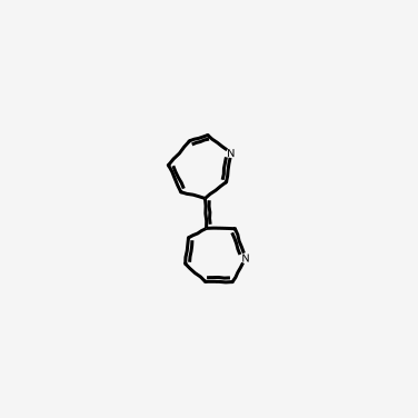 C1=CN=CC(=C2C=CC=CN=C2)C=C1